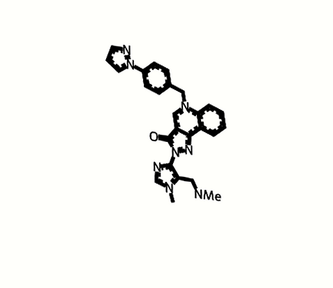 CNCc1c(-n2nc3c4ccccc4n(Cc4ccc(-n5cccn5)cc4)cc-3c2=O)ncn1C